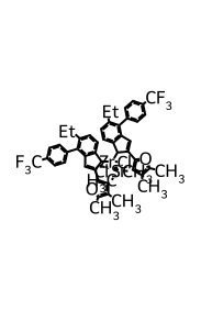 CCc1ccc2c(c1-c1ccc(C(F)(F)F)cc1)C=C(c1cc(C)c(C)o1)[CH]2[Zr]([Cl])([Cl])([CH]1C(c2cc(C)c(C)o2)=Cc2c1ccc(CC)c2-c1ccc(C(F)(F)F)cc1)=[Si](C)C